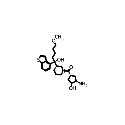 COCCCC[C@@](O)(c1cccc2sccc12)[C@@H]1CCCN(C(=O)[C@H]2C[C@@H](N)[C@@H](O)C2)C1